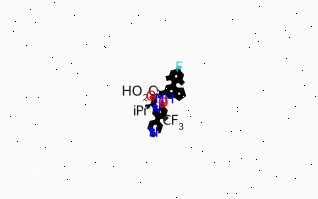 Cc1cc(F)cc(C)c1-c1cc([C@@H](CC(=O)O)NC(=O)[C@H](CC(C)C)n2cc(C3CCN(C)CC3)c(C(F)(F)F)cc2=O)cc2c1CCC2